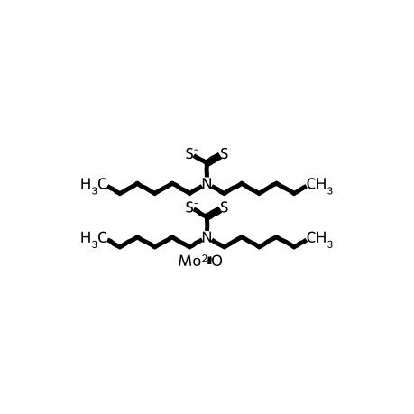 CCCCCCN(CCCCCC)C(=S)[S-].CCCCCCN(CCCCCC)C(=S)[S-].[O]=[Mo+2]